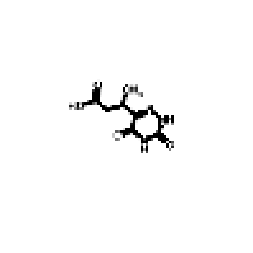 CC(CC(=O)O)c1n[nH]c(=O)[nH]c1=O